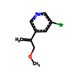 C=C(COC)c1cncc(Br)c1